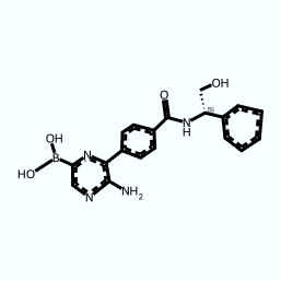 Nc1ncc(B(O)O)nc1-c1ccc(C(=O)N[C@H](CO)c2ccccc2)cc1